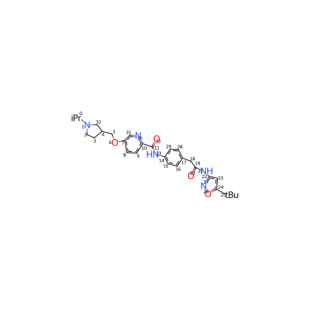 CC(C)N1CCC(COc2ccc(C(=O)Nc3ccc(CC(=O)Nc4cc(C(C)(C)C)on4)cc3)nc2)C1